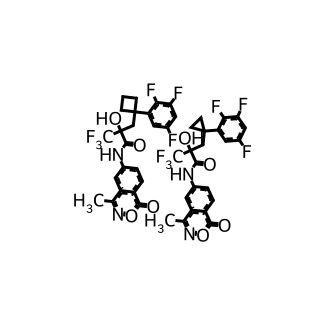 Cc1noc(=O)c2ccc(NC(=O)C(O)(CC3(c4cc(F)cc(F)c4F)CC3)C(F)(F)F)cc12.Cc1noc(=O)c2ccc(NC(=O)C(O)(CC3(c4cc(F)cc(F)c4F)CCC3)C(F)(F)F)cc12